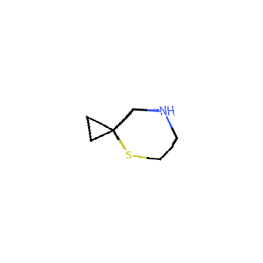 C1CSC2(CC2)CN1